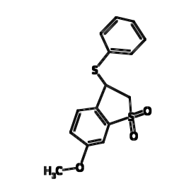 COc1ccc2c(c1)S(=O)(=O)CC2Sc1ccccc1